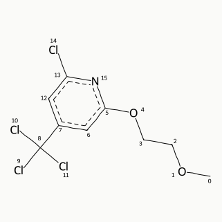 COCCOc1cc(C(Cl)(Cl)Cl)cc(Cl)n1